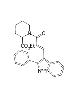 CCOC(=O)C1CCCCN1C(=O)C=Cc1c(-c2ccccc2)nn2ccccc12